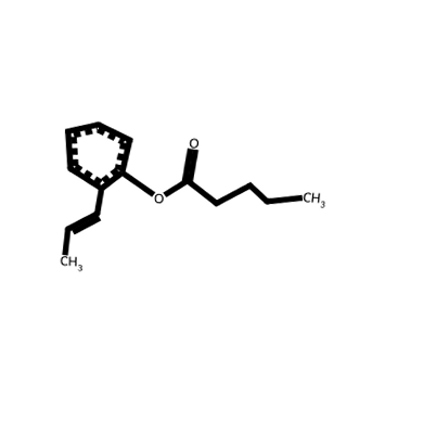 CC=Cc1ccccc1OC(=O)CCCC